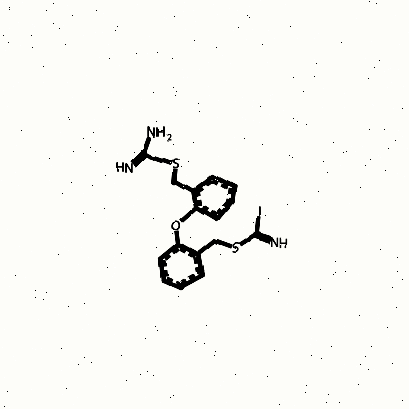 N=C(N)SCc1ccccc1Oc1ccccc1CSC(=N)I